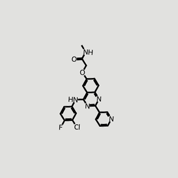 CNC(=O)COc1ccc2nc(-c3cccnc3)nc(Nc3ccc(F)c(Cl)c3)c2c1